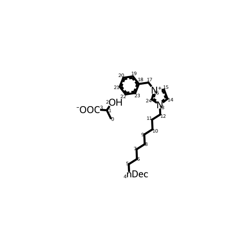 CC(O)C(=O)[O-].CCCCCCCCCCCCCCCCCCn1cc[n+](Cc2ccccc2)c1